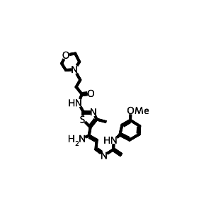 C=C(/N=C\C=C(/N)c1sc(NC(=O)CCN2CCOCC2)nc1C)Nc1cccc(OC)c1